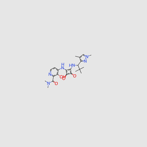 Cc1cn(C)nc1C(Nc1c(Nc2ccnc(C(=O)N(C)C)c2O)c(=O)c1=O)C(C)(C)C